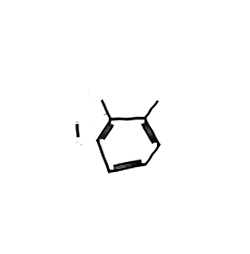 CCOC(N)=O.Cc1ccccc1C